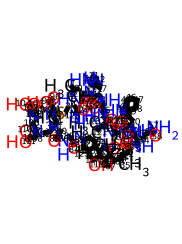 CSCC[C@H](NC(=O)[C@H](CC(C)C)NC(=O)[C@H](Cc1c[nH]cn1)NC(=O)CNC(=O)[C@@H](NC(=O)[C@H](C)NC(=O)[C@H](Cc1c[nH]c2ccccc12)NC(=O)[C@H](CCC(N)=O)NC(=O)CC[C@@H](C)[C@H]1CCC2C3C(C[C@H](O)[C@@]21C)[C@@]1(C)CC[C@H](NC(=O)CNC(=O)CN2CCN(CC(=O)O)CCN(CC(=O)O)CCN(CC(=O)O)CC2)C[C@H]1C[C@H]3O)C(C)C)C(N)=O